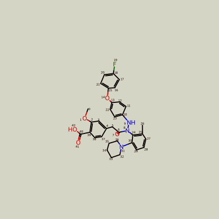 COc1cc(CC(=O)N(Nc2ccc(Oc3ccc(F)cc3)cc2)c2c(C)cccc2N2CCCCC2)ccc1C(=O)O